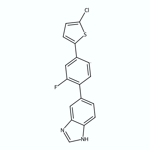 Fc1cc(-c2ccc(Cl)s2)[c]cc1-c1ccc2[nH]cnc2c1